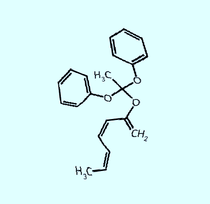 C=C(/C=C\C=C/C)OC(C)(Oc1ccccc1)Oc1ccccc1